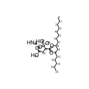 CCCCCCCCC(CCCCCCC)OC(=O)C(CC(=O)O)S(=O)(=O)O.[NaH]